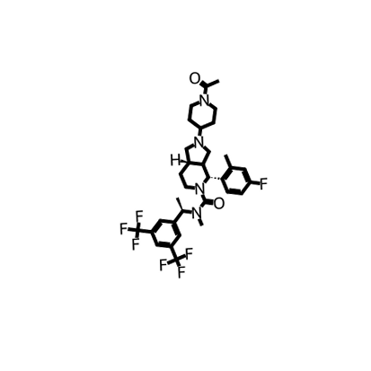 CC(=O)N1CCC(N2CC3[C@H](CCN(C(=O)N(C)[C@H](C)c4cc(C(F)(F)F)cc(C(F)(F)F)c4)[C@H]3c3ccc(F)cc3C)C2)CC1